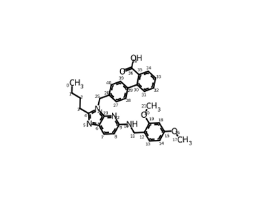 CCCCc1nc2ccc(NCc3ccc(OC)cc3OC)nc2n1Cc1ccc(-c2ccccc2C(=O)O)cc1